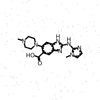 CN1CCN(c2cc3[nH]c(Nc4nccn4C)nc3cc2C(=O)O)CC1